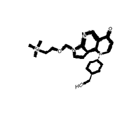 C[Si](C)(C)CCOCn1ccc2c1ncc1c(=O)ccn([C@H]3CC[C@H](CO)CC3)c12